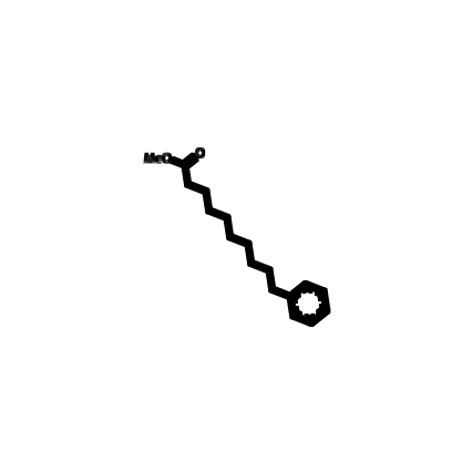 COC(=O)CCCCCCCCCc1ccccc1